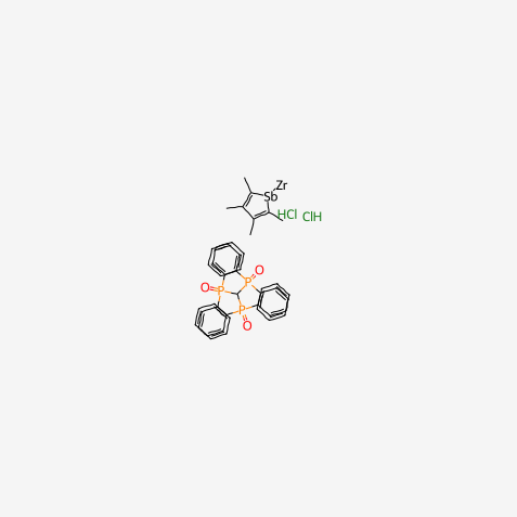 CC1=[C](C)[Sb]([Zr])[C](C)=C1C.Cl.Cl.O=P(c1ccccc1)(c1ccccc1)C(P(=O)(c1ccccc1)c1ccccc1)P(=O)(c1ccccc1)c1ccccc1